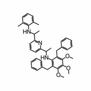 COc1c(Cc2ccccc2)c(NC(C)c2cccc(C(C)Nc3c(C)cccc3C)n2)c(Cc2ccccc2)c(OC)c1OC